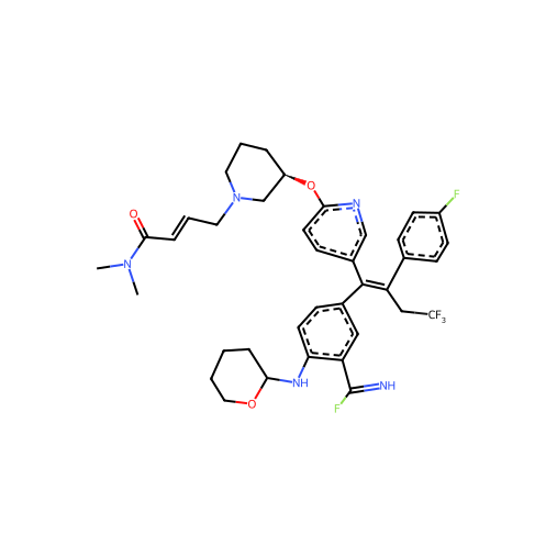 CN(C)C(=O)/C=C/CN1CCC[C@@H](Oc2ccc(/C(=C(/CC(F)(F)F)c3ccc(F)cc3)c3ccc(NC4CCCCO4)c(C(=N)F)c3)cn2)C1